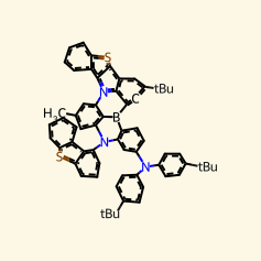 Cc1cc2c3c(c1)-n1c4c(cc(C(C)(C)C)cc4c4sc5ccccc5c41)B3c1ccc(N(c3ccc(C(C)(C)C)cc3)c3ccc(C(C)(C)C)cc3)cc1N2c1cccc2sc3ccccc3c12